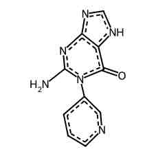 Nc1nc2nc[nH]c2c(=O)n1-c1cccnc1